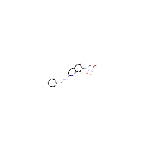 O=C1CN(c2c(O)cc3ccc(NCCc4ccccc4)nc3c2F)S(=O)(=O)N1